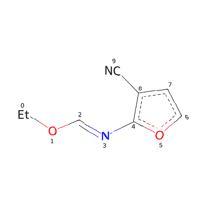 CCOC=Nc1occc1C#N